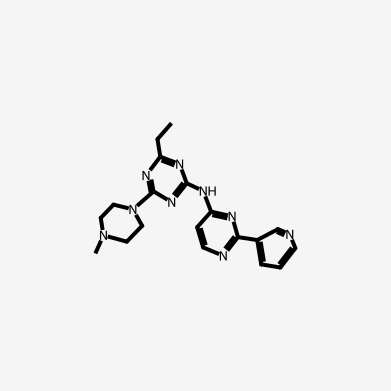 CCc1nc(Nc2ccnc(-c3cccnc3)n2)nc(N2CCN(C)CC2)n1